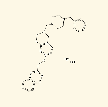 Cl.Cl.c1ccc(CN2CCN(CC3CCc4cc(OCc5ccc6ccccc6c5)ccc4C3)CC2)cc1